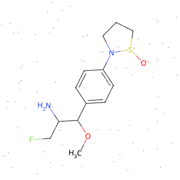 COC(c1ccc(N2CCC[S+]2[O-])cc1)C(N)CF